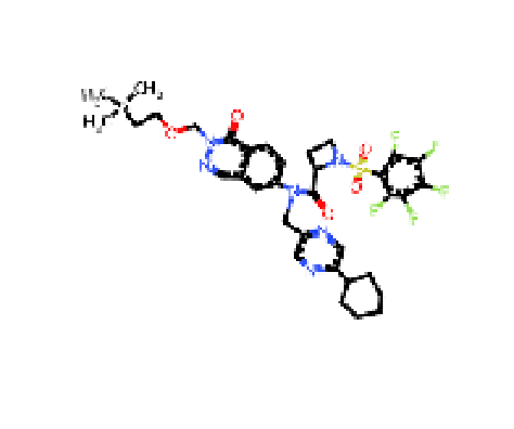 C[Si](C)(C)CCOCn1ncc2cc(N(Cc3cnc(C4CCCCC4)cn3)C(=O)C3CCN3S(=O)(=O)c3c(F)c(F)c(F)c(F)c3F)ccc2c1=O